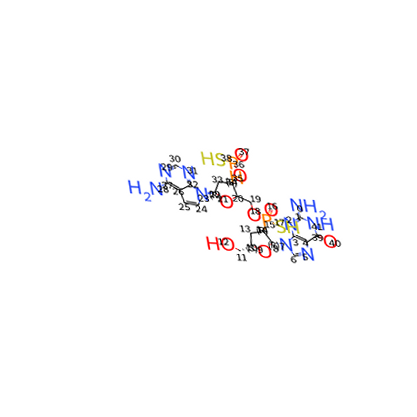 Nc1nc2c(ncn2[C@@H]2O[C@H](CO)C[C@H]2P(=O)(S)OCC2O[C@@H](n3ccc4c(N)ncnc43)C[C@@H]2O[PH](=O)S)c(=O)[nH]1